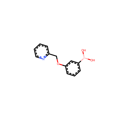 OB(O)c1cccc(OCc2ccccn2)c1